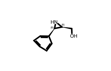 OC[C@@H]1N[C@@H]1c1ccccc1